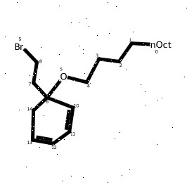 CCCCCCCCCCCCOC1(CCBr)C=CC=CC1